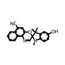 CN1c2ccc(O)cc2C(C)(C)C12C=Nc1c(cc(C#N)c3ccccc13)O2